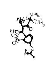 CC(C)(C)C(=O)C(C#N)=C(O)c1ccc(OC(F)F)cc1[N+](=O)[O-]